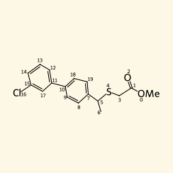 COC(=O)CSC(C)c1ccc(-c2cccc(Cl)c2)cc1